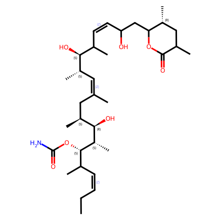 CC/C=C\C(C)[C@H](OC(N)=O)[C@@H](C)[C@H](O)[C@@H](C)C/C(C)=C\[C@H](C)[C@@H](O)C(C)/C=C\C(O)CC1OC(=O)C(C)C[C@H]1C